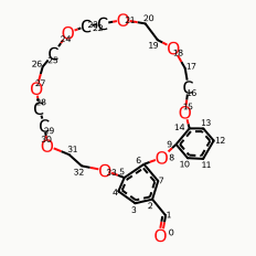 O=Cc1ccc2c(c1)Oc1ccccc1OCCOCCOCCOCCOCCOCCO2